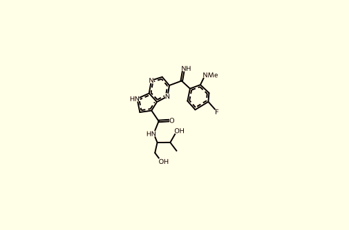 CNc1cc(F)ccc1C(=N)c1cnc2[nH]cc(C(=O)NC(CO)C(C)O)c2n1